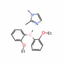 CCOc1ccccc1B(C)c1ccccc1OCC.Cc1nccn1C